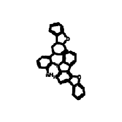 Nc1cccc(C2C=CC3Oc4ccccc4C3C2)c1-n1c2ccccc2c2c3oc4ccccc4c3ccc21